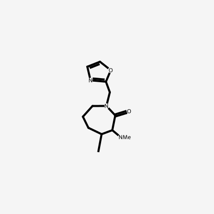 CNC1C(=O)N(Cc2ncco2)CCCC1C